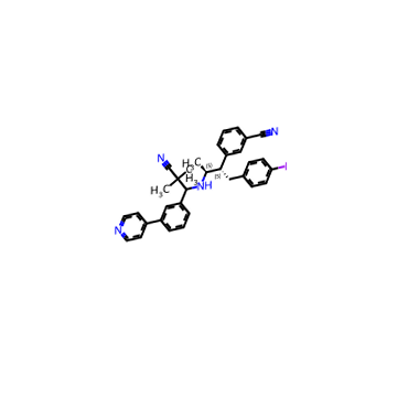 C[C@H](NC(c1cccc(-c2ccncc2)c1)C(C)(C)C#N)[C@@H](Cc1ccc(I)cc1)c1cccc(C#N)c1